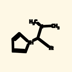 CCC(N(C)C)[SH]1C=CC=C1